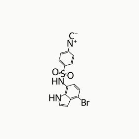 [C-]#[N+]c1ccc(S(=O)(=O)Nc2ccc(Br)c3cc[nH]c23)cc1